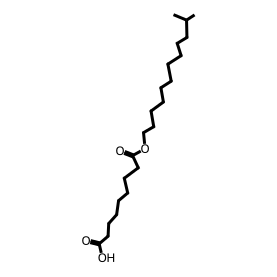 CC(C)CCCCCCCCCCOC(=O)CCCCCCCC(=O)O